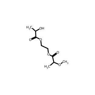 COC(C)C(=O)OCCOC(=O)C(C)O